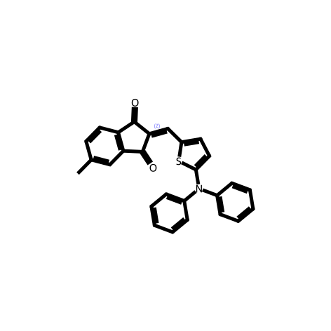 Cc1ccc2c(c1)C(=O)/C(=C\c1ccc(N(c3ccccc3)c3ccccc3)s1)C2=O